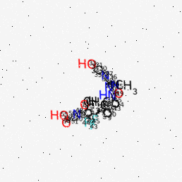 COc1cc(/C=C/c2cccc(-c3cccc(NC(=O)c4nc5c(n4C)CCN(C4CCC(O)CC4)C5)c3C)c2C)c(C(F)(F)F)cc1CN1CC[C@@H](C(=O)O)C1